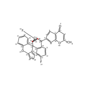 Cc1cc(=O)c2ccc(N3c4ccc(F)cc4C4(c5ccccc5Oc5ccccc54)c4cc(F)ccc43)cc2o1